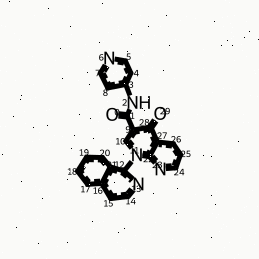 O=C(Nc1ccncc1)c1cn(-c2nccc3ccccc23)c2ncccc2c1=O